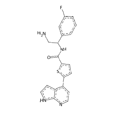 NCC(NC(=O)c1ccc(-c2ccnc3[nH]ccc23)s1)c1cccc(F)c1